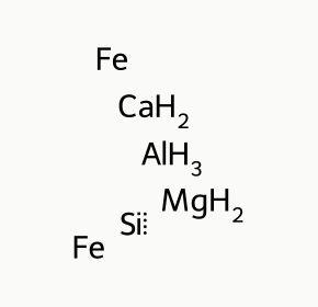 [AlH3].[CaH2].[Fe].[Fe].[MgH2].[Si]